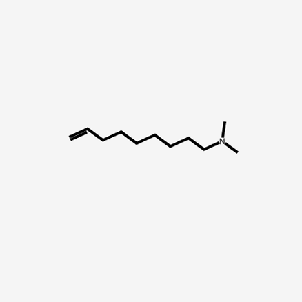 C=CCCCCCCCN(C)C